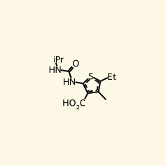 CCc1sc(NC(=O)NC(C)C)c(C(=O)O)c1C